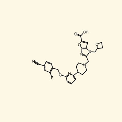 N#Cc1ccc(COc2cccc(C3CCN(Cc4nc5oc(C(=O)O)cc5n4CC4CCO4)CC3)n2)c(F)c1